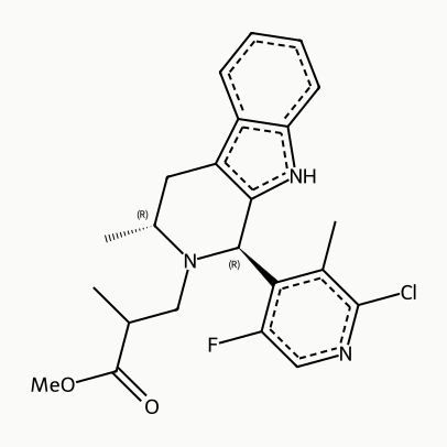 COC(=O)C(C)CN1[C@H](c2c(F)cnc(Cl)c2C)c2[nH]c3ccccc3c2C[C@H]1C